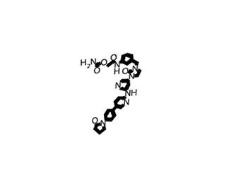 NC(=O)OCC(=O)Nc1cccc(CN2CCN(c3cncc(Nc4ccc(-c5ccc(N6CCCC6=O)cc5)cn4)c3)C2=O)c1